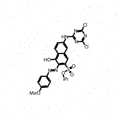 COc1ccc(N=Nc2c(S(=O)(=O)OC(C)C)cc3cc(Nc4nc(Cl)nc(Cl)n4)ccc3c2O)cc1